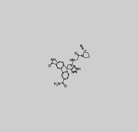 C[C@H](CC1(c2nn[nH]n2)c2ccc(C(N)=O)cc2-c2cc(C(N)=O)ccc21)NCC(=O)N1CCC[C@H]1C#N